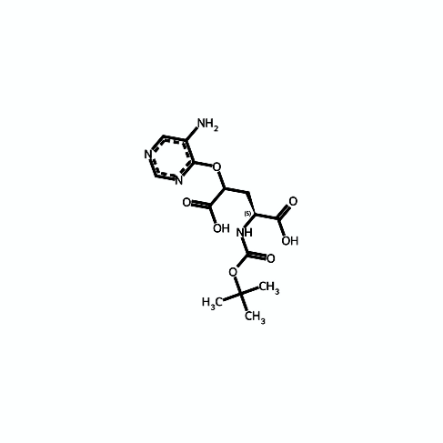 CC(C)(C)OC(=O)N[C@@H](CC(Oc1ncncc1N)C(=O)O)C(=O)O